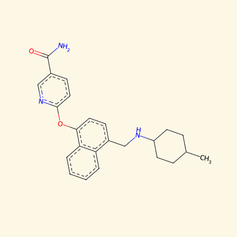 CC1CCC(NCc2ccc(Oc3ccc(C(N)=O)cn3)c3ccccc23)CC1